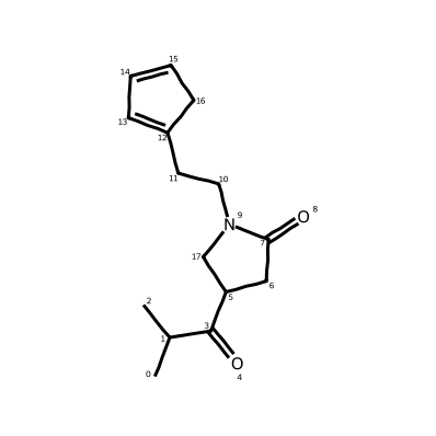 CC(C)C(=O)C1CC(=O)N(CCC2=CC=CC2)C1